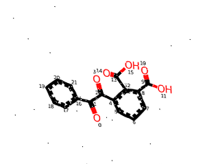 O=C(C(=O)c1cccc(C(=O)O)c1C(=O)O)c1ccccc1